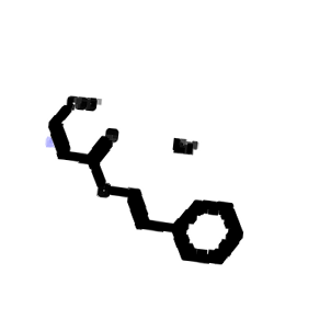 O=C([O-])/C=C\C(=O)OC=Cc1ccccc1.[Na+]